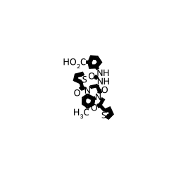 Cc1ccc2c(c1)N(CC(=O)c1cccs1)C(=O)C(NC(=O)Nc1cccc(C(=O)O)c1)CN2C(=O)c1cccs1